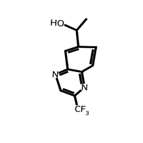 CC(O)c1ccc2nc(C(F)(F)F)cnc2c1